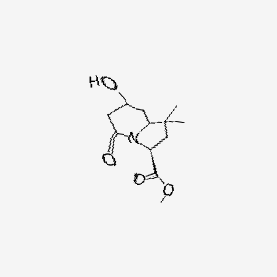 COC(=O)[C@@H]1CC(C)(C)C2CC(O)CC(=O)N21